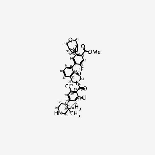 COC(=O)c1cc(F)c(-c2cccc3c2OCN(C(=O)c2c(Cl)cc(N4CCNCC4(C)C)cc2Cl)C3)cc1N1C2CCC1COC2